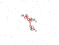 C=CC(=O)OCCCCOc1ccc(C(=O)OC)cc1OC